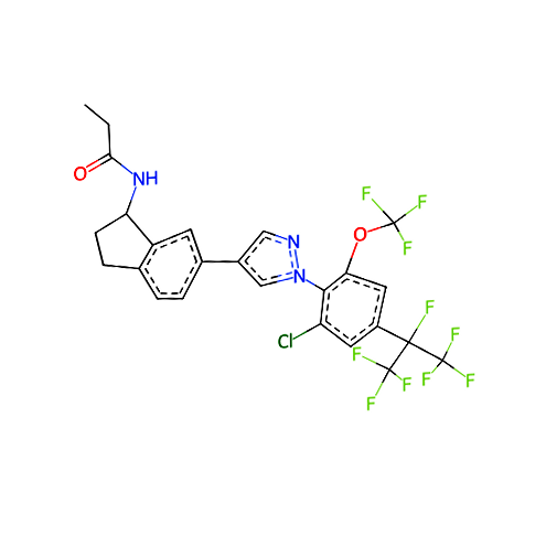 CCC(=O)NC1CCc2ccc(-c3cnn(-c4c(Cl)cc(C(F)(C(F)(F)F)C(F)(F)F)cc4OC(F)(F)F)c3)cc21